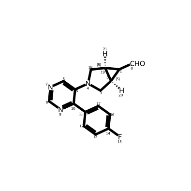 O=CC1[C@H]2CN(c3cncnc3-c3ccc(F)cc3)C[C@@H]12